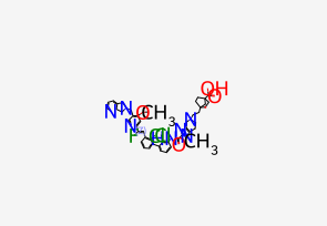 COc1cc(/C(F)=C/c2cccc(-c3cccc(NC(=O)c4nc5c(n4C)CCN(CCC46CCC(C(=O)O)(CC4)C6)C5)c3Cl)c2Cl)ncc1CN1Cc2cccnc2C1